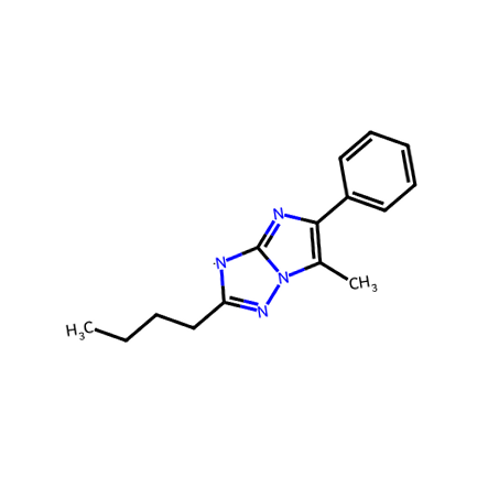 CCCCC1=Nn2c(nc(-c3ccccc3)c2C)[N]1